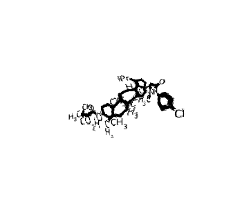 CC(C)C1=C2[C@H]3CCC4[C@@]5(C)CC[C@H](OC(=O)CC(C)(C)C(=O)O)C(C)(C)C5CC[C@@]4(C)[C@]3(C)CC[C@@]2(c2cc(=O)n(-c3ccc(Cl)cc3)n2C)CC1